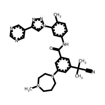 Cc1ccc(NC(=O)c2cc(N3CCCN(C)CC3)cc(C(C)(C)C#N)c2)cc1-n1cc(-c2cncnc2)nn1